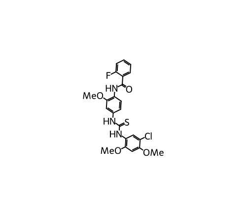 COc1cc(OC)c(NC(=S)Nc2ccc(NC(=O)c3ccccc3F)c(OC)c2)cc1Cl